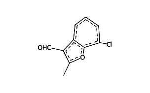 Cc1oc2c(Cl)cccc2c1C=O